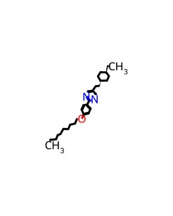 CCCCCCCCCCOc1ccc(-c2ncc(CC[C@H]3CC[C@H](CC)CC3)cn2)cc1